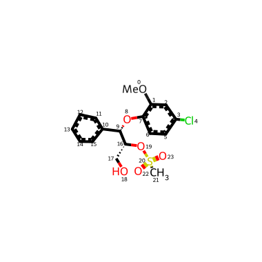 COc1cc(Cl)ccc1O[C@@H](c1ccccc1)[C@@H](CO)OS(C)(=O)=O